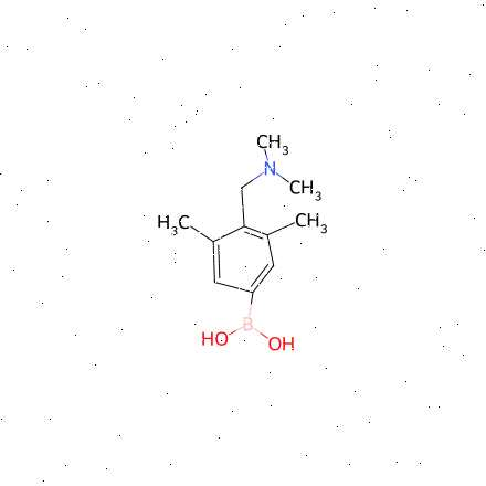 Cc1cc(B(O)O)cc(C)c1CN(C)C